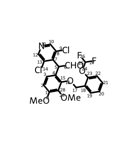 COc1ccc(C(C=O)c2c(Cl)cncc2Cl)c(OCc2ccccc2OC(F)F)c1OC